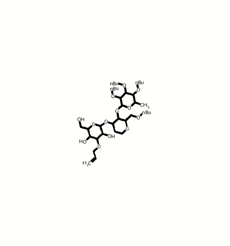 C=CCOC1C(O)C(CO)OC(OC2CCOC(COCCCC)C2OC2OC(C)C(OCCCC)C(OCCCC)C2OCCCC)C1O